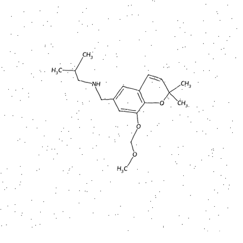 COCOc1cc(CNCC(C)C)cc2c1OC(C)(C)C=C2